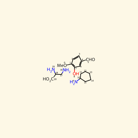 COc1ccc(C=O)cc1O.NC1CCCCC1.NCC(N)C(=O)O